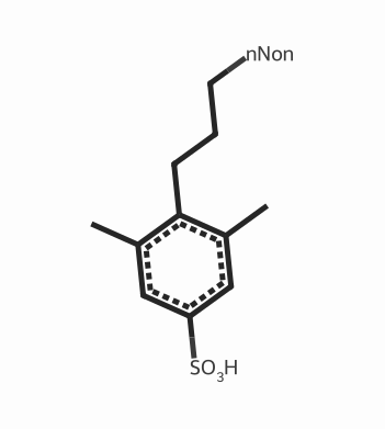 CCCCCCCCCCCCc1c(C)cc(S(=O)(=O)O)cc1C